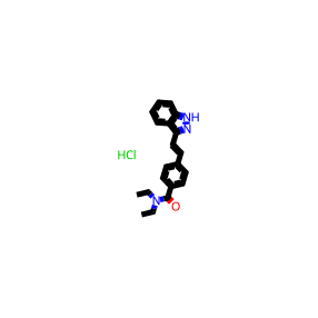 CCN(CC)C(=O)c1ccc(/C=C/c2n[nH]c3ccccc23)cc1.Cl